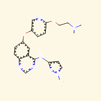 CN(C)CCOc1ccc(Oc2ccc3ncnc(Nc4ccn(C)n4)c3c2)cn1